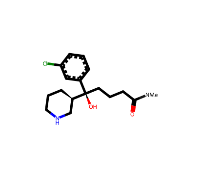 CNC(=O)CCC[C@@](O)(c1cccc(Cl)c1)[C@@H]1CCCNC1